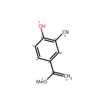 C=C(OC)c1ccc(O)c(C#N)c1